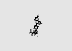 CNC(=O)c1nc(N2CCC(C(=O)N3OCCC3c3cncc(C#N)n3)CC2)ncc1P